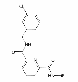 CC(C)NC(=O)c1cccc(C(=O)NCc2cccc(Cl)c2)n1